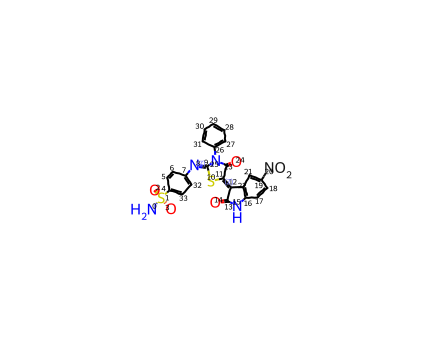 NS(=O)(=O)c1ccc(/N=C2\S/C(=C3\C(=O)Nc4ccc([N+](=O)[O-])cc43)C(=O)N2c2ccccc2)cc1